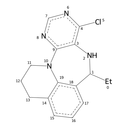 CCC1Nc2c(Cl)ncnc2N2CCCc3cccc1c32